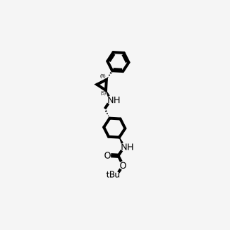 CC(C)(C)OC(=O)N[C@H]1CC[C@H](CN[C@H]2C[C@@H]2c2ccccc2)CC1